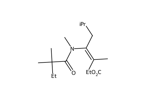 CCOC(=O)C(C)=C(CC(C)C)N(C)C(=O)C(C)(C)CC